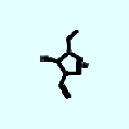 Br.C=CN1C=CN(CC)C1O